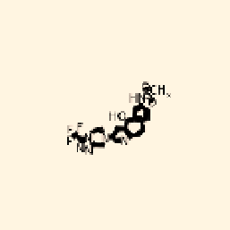 CS(=O)(=O)Nc1ccc2c(c1)C(O)c1cc(N3CCn4c(nnc4C(F)(F)F)C3)cnc1C=C2